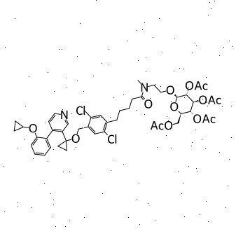 CC(=O)OC[C@H]1O[C@@H](OCCN(C)C(=O)CCCCc2cc(Cl)c(COC3(c4cnccc4-c4ccccc4OC4CC4)CC3)cc2Cl)[C@H](OC(C)=O)[C@@H](OC(C)=O)[C@@H]1OC(C)=O